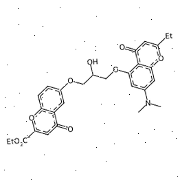 CCOC(=O)c1cc(=O)c2cc(OCC(O)COc3cc(N(C)C)cc4oc(CC)cc(=O)c34)ccc2o1